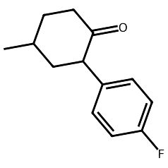 CC1CCC(=O)C(c2ccc(F)cc2)C1